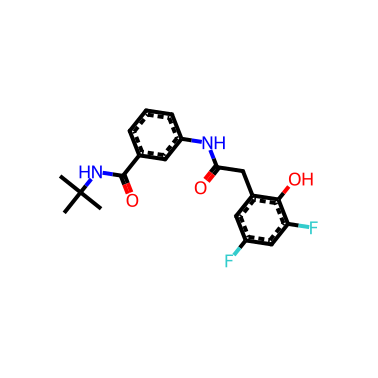 CC(C)(C)NC(=O)c1cccc(NC(=O)Cc2cc(F)cc(F)c2O)c1